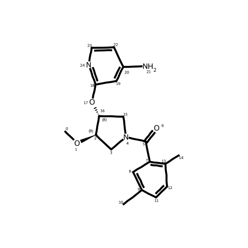 CO[C@@H]1CN(C(=O)c2cc(C)ccc2C)C[C@H]1Oc1cc(N)ccn1